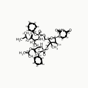 CC(C)OC(=O)[C@H](C)NP(=O)(OC[C@H]1O[C@@H](n2ccc(=O)[nH]c2=O)C(F)C1(C)COP(=O)(N[C@@H](C)C(=O)OC(C)C)Oc1ccccc1)Oc1ccccc1